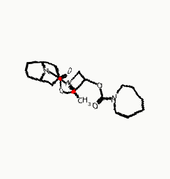 CCOC(=O)N1C2CCC1CC(N1CC(OC(=O)N3CCCCCC3)C1)C2